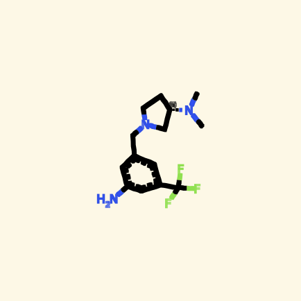 CN(C)[C@H]1CCN(Cc2cc(N)cc(C(F)(F)F)c2)C1